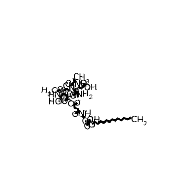 CCCCCCCCCCCCCCOP(=O)(O)OCCNC(=O)CCC(=O)OC[C@H]1O[C@H](O)[C@H](NC(C)=O)[C@@H](OC(C)CN(C(=O)C(N)CC)[C@H](CCC(=O)O)C(N)=O)[C@@H]1O